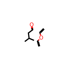 C=COC=C.CC(C)CC=O